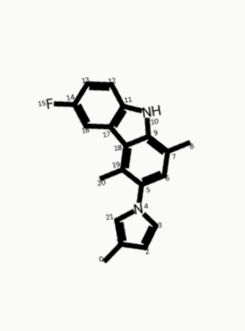 Cc1ccn(-c2cc(C)c3[nH]c4ccc(F)cc4c3c2C)c1